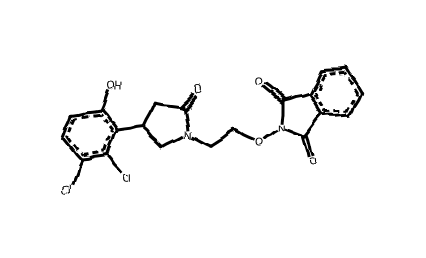 O=C1CC(c2c(O)ccc(Cl)c2Cl)CN1CCON1C(=O)c2ccccc2C1=O